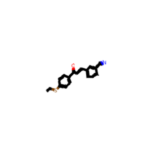 CCSc1ccc(C(=O)/C=C/c2cccc(C#N)c2)cc1